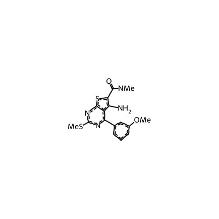 CNC(=O)c1sc2nc(SC)nc(-c3cccc(OC)c3)c2c1N